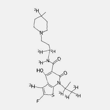 [2H]c1c(F)sc2c1c(O)c(C(=O)N([2H])C([2H])([2H])CCN1CCC([2H])(C)CC1)c(=O)n2C([2H])(C)C([2H])([2H])[2H]